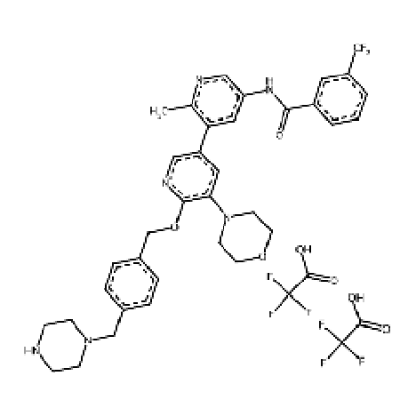 Cc1ncc(NC(=O)c2cccc(C(F)(F)F)c2)cc1-c1cnc(OCc2ccc(CN3CCNCC3)cc2)c(N2CCOCC2)c1.O=C(O)C(F)(F)F.O=C(O)C(F)(F)F